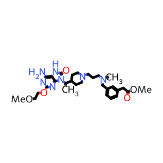 COCCOc1nc(N)c2[nH]c(=O)n(C(C)C3CCN(CCCN(C)Cc4cccc(CC(=O)OC)c4)CC3)c2n1